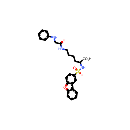 O=C(CNc1ccccc1)NCCCCC(NS(=O)(=O)c1ccc2oc3ccccc3c2c1)C(=O)O